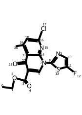 CCOC(=O)c1cn(-c2ncc(F)s2)c2nc(Cl)cc(C)c2c1=O